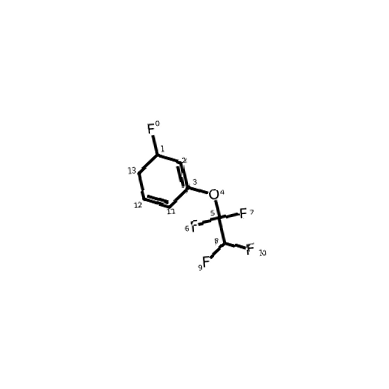 FC1C=C(OC(F)(F)C(F)F)C=CC1